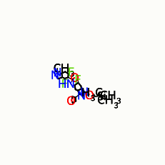 Cn1ncc2c(F)c(C(=O)Nc3cc4c(-c5ccoc5)nn(COCC[Si](C)(C)C)c4cc3F)c(F)cc21